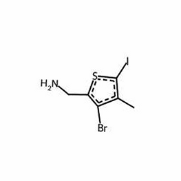 Cc1c(I)sc(CN)c1Br